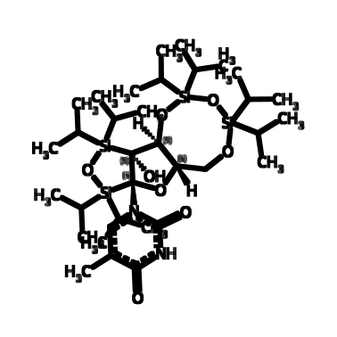 Cc1cn([C@]23O[C@H]4CO[Si](C(C)C)(C(C)C)O[Si](C(C)C)(C(C)C)O[C@@H]4[C@]2(O)[Si](C(C)C)(C(C)C)O[Si]3(C(C)C)C(C)C)c(=O)[nH]c1=O